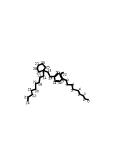 CCCCCCCCCc1ccc(CCC2(CCCCCCCCC)CCCCC2)cc1C